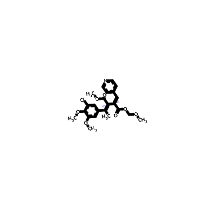 COCOC(=O)C(=C/c1ccncc1)/C(C(=O)OC)=C(\C)c1cc(Cl)c(OC)c(OC)c1